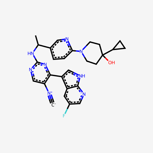 [C-]#[N+]c1cnc(NC(C)c2ccc(N3CCC(O)(C4CC4)CC3)nc2)nc1-c1c[nH]c2ncc(F)cc12